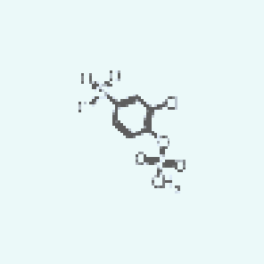 CS(=O)(=O)Oc1ccc(S(=O)(=O)Cl)cc1Cl